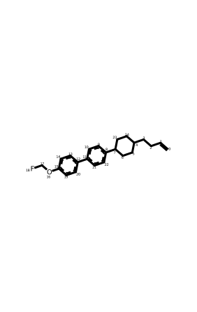 C=CCCC1CCC(c2ccc(-c3ccc(OCF)cc3)cc2)CC1